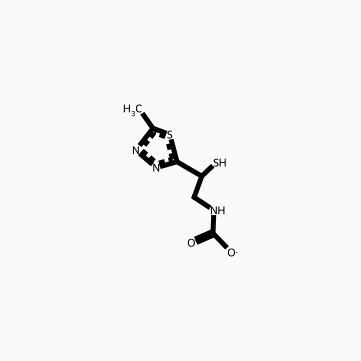 Cc1nnc(C(S)CNC([O])=O)s1